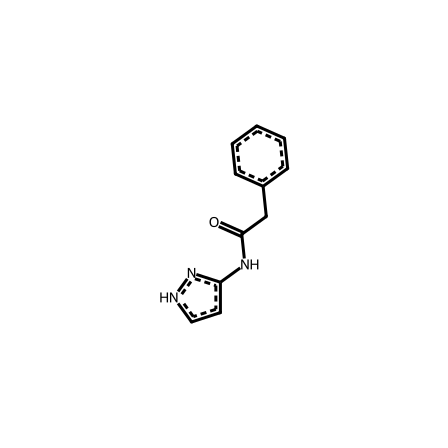 O=C(Cc1ccccc1)Nc1cc[nH]n1